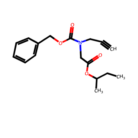 C#CCN(CC(=O)OC(C)CC)C(=O)OCc1ccccc1